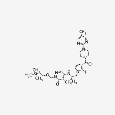 CC(Cn1ccc(C(=O)N2CCN(c3ncc(C(F)(F)F)cn3)CC2)c1F)Nc1cnn(COCC[Si](C)(C)C)c(=O)c1C(F)(F)F